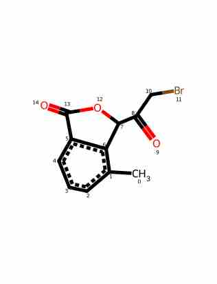 Cc1cccc2c1C(C(=O)CBr)OC2=O